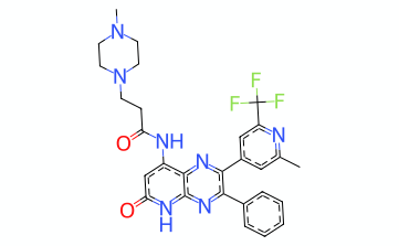 Cc1cc(-c2nc3c(NC(=O)CCN4CCN(C)CC4)cc(=O)[nH]c3nc2-c2ccccc2)cc(C(F)(F)F)n1